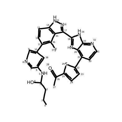 CCCC(O)Nc1cncc(-c2ccc3[nH]nc(-c4nc5c(-c6ccc(C(C)=O)s6)ccnc5[nH]4)c3c2F)c1